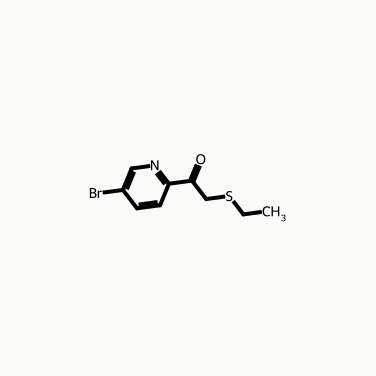 CCSCC(=O)c1ccc(Br)cn1